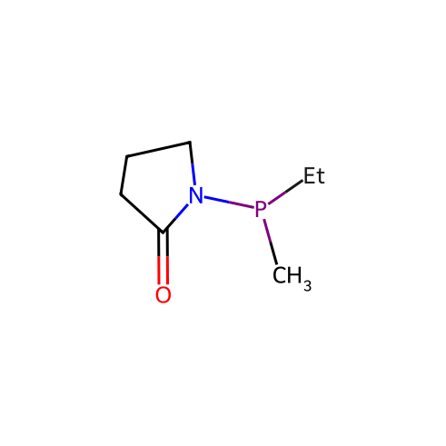 CCP(C)N1CCCC1=O